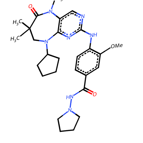 COc1cc(C(=O)NN2CCCC2)ccc1Nc1ncc2c(n1)N(C1CCCC1)CC(C)(C)C(=O)N2C